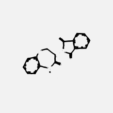 CN1C(=O)[C@@H](N2C(=O)c3ccccc3C2=O)COc2ccccc21